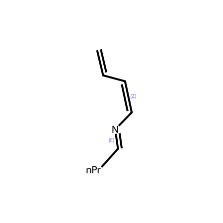 C=C/C=C\N=C\CCC